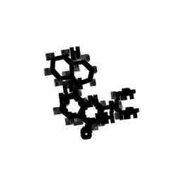 CCCN(CCC)c1nc2c(N3CCC[C@@H]4CCCC[C@@H]43)nccc2c(=O)[nH]1